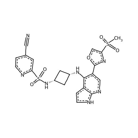 CS(=O)(=O)c1coc(-c2cnc3[nH]ccc3c2N[C@H]2C[C@@H](NS(=O)(=O)c3cc(C#N)ccn3)C2)n1